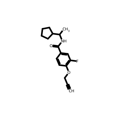 C#CCOc1ccc(C(=O)NC(C)C2CCCC2)cc1F